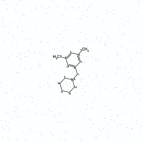 Cc1cc(C)cc(CN2CCCCC2)c1